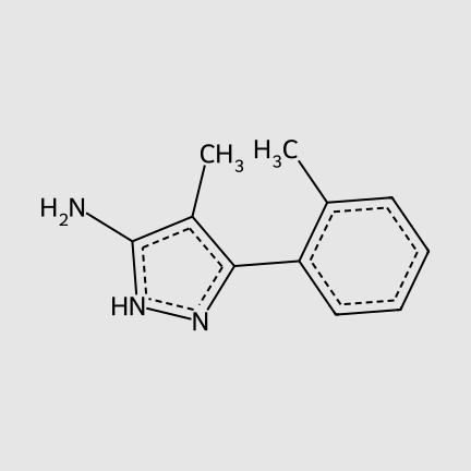 Cc1ccccc1-c1n[nH]c(N)c1C